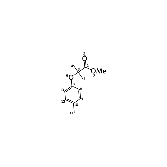 COC(=O)C(C)(C)Oc1ccc(C)cc1